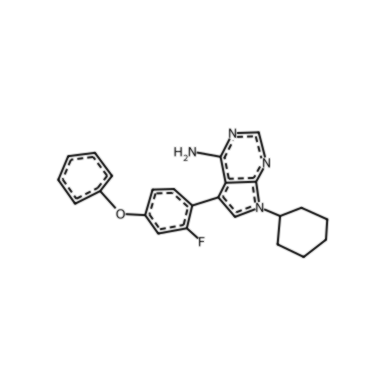 Nc1ncnc2c1c(-c1ccc(Oc3ccccc3)cc1F)cn2C1CCCCC1